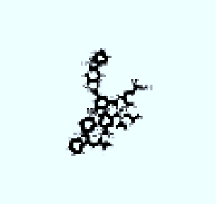 CC(=O)CN(C(=O)c1cc(C(=O)NC(Cc2c[nH]c3ccccc23)C(C)=O)cc(P(=O)(c2ccccc2)c2cc(C(=O)NC(CCC(=O)O)C(C)=O)cc(C(=O)NC(Cc3c[nH]c4ccccc34)C(C)=O)c2)c1)C(C)C